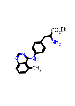 CCOC(=O)C(N)Cc1ccc(Nc2ncnc3cccc(C)c23)cc1